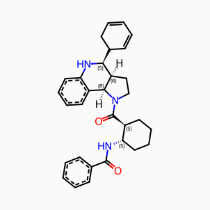 O=C(N[C@H]1CCCC[C@@H]1C(=O)N1CC[C@@H]2[C@H](C3C=CC=CC3)Nc3ccccc3[C@@H]21)c1ccccc1